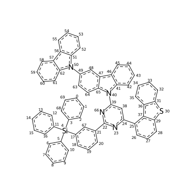 c1ccc([Si](c2ccccc2)(c2ccccc2)c2cccc(-c3nc(-c4cccc5sc6ccccc6c45)cc(-n4c5ccccc5c5cc(-n6c7ccccc7c7ccccc76)ccc54)n3)c2)cc1